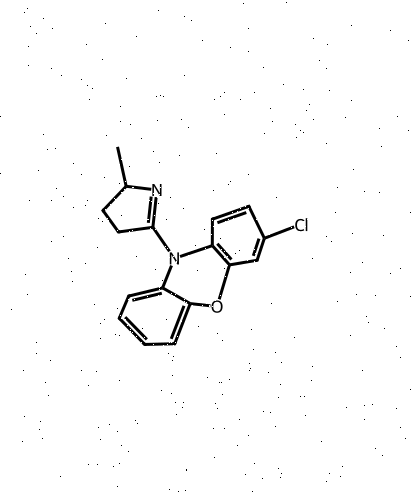 CC1CCC(N2c3ccccc3Oc3cc(Cl)ccc32)=N1